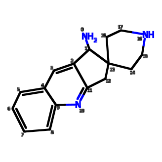 NC1c2cc3ccccc3nc2CC12CCNCC2